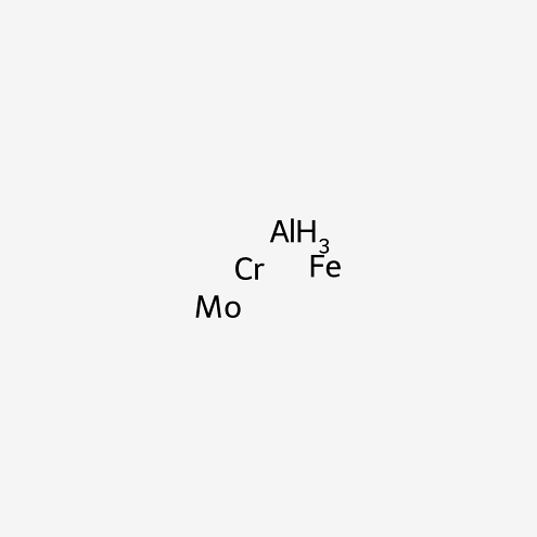 [AlH3].[Cr].[Fe].[Mo]